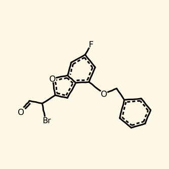 O=CC(Br)c1cc2c(OCc3ccccc3)cc(F)cc2o1